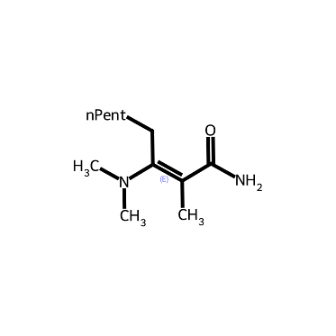 CCCCCC/C(=C(/C)C(N)=O)N(C)C